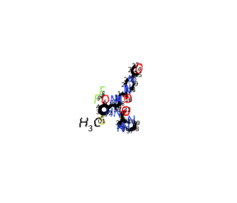 CSc1ccc(OC(F)F)c(-c2nn(CC(=O)N3CCN(C4CCOC4)CC3)cc2NC(=O)c2cnn3cccnc23)c1